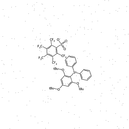 CC(C)(C)Oc1cc(OC(C)(C)C)c([S+](c2ccccc2)c2ccccc2)c(OC(C)(C)C)c1.O=S(=O)([O-])c1c(C(F)(F)F)c(C(F)(F)F)c(C(F)(F)F)c(C(F)(F)F)c1C(F)(F)F